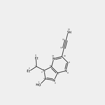 CCC(CC)n1c(O)nc2ncc(C#CS)nc21